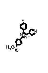 C[S+]([O-])c1ccc(-c2nc(-c3ccc(F)cc3)c(C3C=CN=CC3)[nH]2)cc1